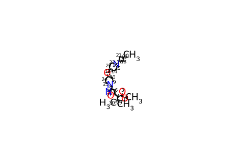 COC(=O)C(c1cc(N2CCC(OC3CCN([C@H]4C[C@H](C)C4)CC3)CC2)no1)C(C)C